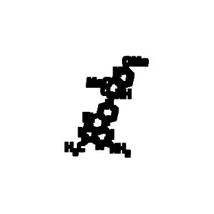 CC[C@H]1CN(C(=O)Nc2ccc(OC)nc2OC)CCN1c1nc(N)nc2c(C)noc12